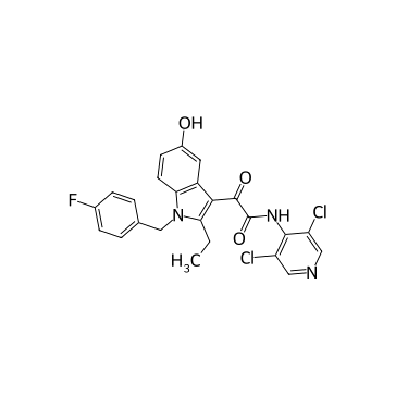 CCc1c(C(=O)C(=O)Nc2c(Cl)cncc2Cl)c2cc(O)ccc2n1Cc1ccc(F)cc1